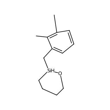 Cc1cccc(C[SiH]2CCCCO2)c1C